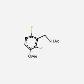 COc1ccc(F)c(CNC(C)=O)c1F